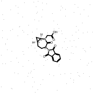 O=C(O)CN1C(=O)[C@@H](N2C(=O)c3ccccc3C2=O)CC[C@H]2C[C@H]21